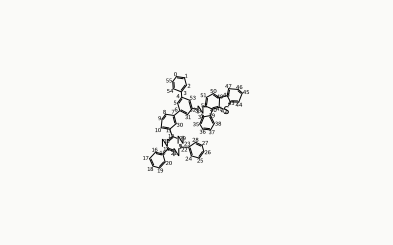 c1ccc(-c2cc(-c3cccc(-c4nc(-c5ccccc5)nc(-c5ccccc5)n4)c3)cc(-n3c4ccccc4c4c5sc6ccccc6c5ccc43)c2)cc1